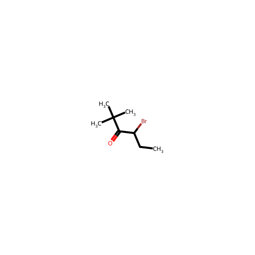 CCC(Br)C(=O)C(C)(C)C